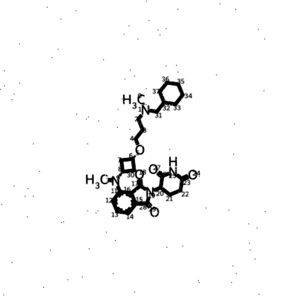 CN(CCCO[C@H]1C[C@H](N(C)c2cccc3c2C(=O)N(C2CCC(=O)NC2=O)C3=O)C1)CC1CCCCC1